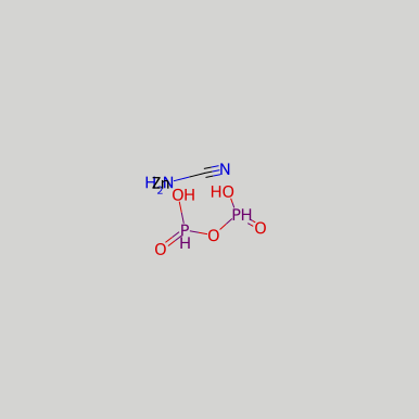 N#CN.O=[PH](O)O[PH](=O)O.[Zn]